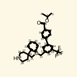 CC(C)OC(=O)c1ccc(-c2cc(COCC3(c4ccccc4)CCNCC3)cc(C(F)(F)F)c2)cc1